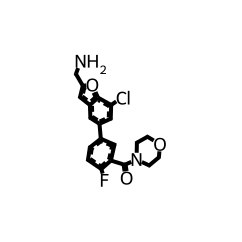 NCc1cc2cc(-c3ccc(F)c(C(=O)N4CCOCC4)c3)cc(Cl)c2o1